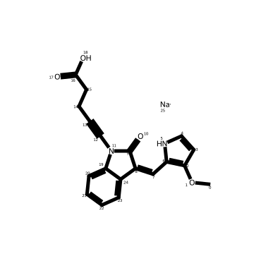 COc1cc[nH]c1C=C1C(=O)N(C#CCCC(=O)O)c2ccccc21.[Na]